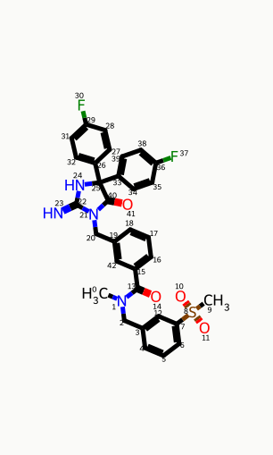 CN(Cc1cccc(S(C)(=O)=O)c1)C(=O)c1cccc(CN2C(=N)NC(c3ccc(F)cc3)(c3ccc(F)cc3)C2=O)c1